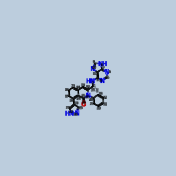 C[C@@H](Nc1ncnc2[nH]cnc12)c1cc2cccc(-c3cn[nH]c3)c2c(=O)n1-c1ccccc1